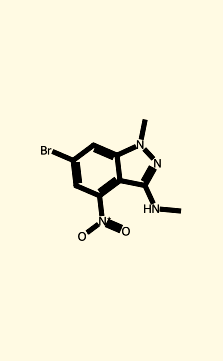 CNc1nn(C)c2cc(Br)cc([N+](=O)[O-])c12